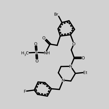 CCC1CN(Cc2ccc(F)cc2)CCN1C(=O)COc1ccc(Br)cc1CC(=O)NS(C)(=O)=O